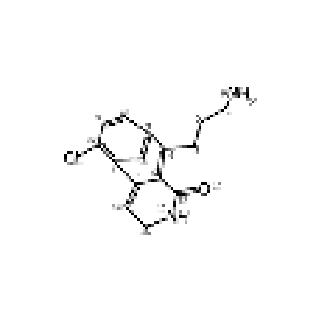 NCCCc1c2c(c3cc1ccc3Cl)=CCNC2=O